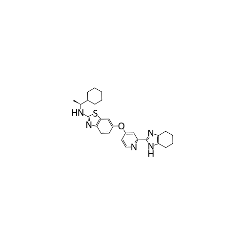 C[C@H](Nc1nc2ccc(Oc3ccnc(-c4nc5c([nH]4)CCCC5)c3)cc2s1)C1CCCCC1